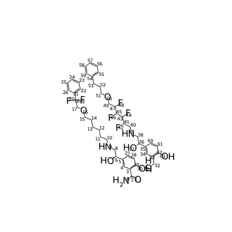 NC(=O)c1cc(C(O)CNCCCCCCOCC(F)(F)c2ccccc2)ccc1O.OCc1cc(C(O)CNCC(F)C(F)C(F)C(F)COCCCc2ccccc2)ccc1O